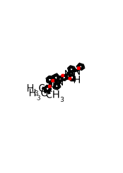 Cc1cc(N(c2cc#ccc2)c2cccc3c2c2cccc4c2n3C2Cc3c5c6n(c3C=C42)-c2cccc(Nc3ccccc3)c2C6CC=C5)cc(C)c1C